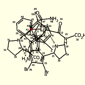 CC1(CC(N)=O)c2ccc(cc2)[C@]1(C(=O)NC(=O)O)N1CCCC1c1c(Br)c(Br)c(C2CCCN2[C@@]2(C(=O)NC(=O)O)c3ccc(cc3)C2(C)CC(N)=O)n1-c1ccc(F)cc1